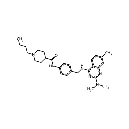 CCCCN1CCC(C(=O)Nc2ccc(CNc3nc(N(C)C)nc4cc(C)ccc34)cc2)CC1